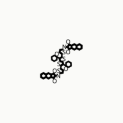 O=c1c(=Nc2cc3c(s2)-c2sc4c5c(sc4c2C2(CCCCC2)O3)-c2sc(N=c3c(=O)c4cc6ccccc6cc4c3=O)cc2OC52CCCCC2)c(=O)c2cc3ccccc3cc12